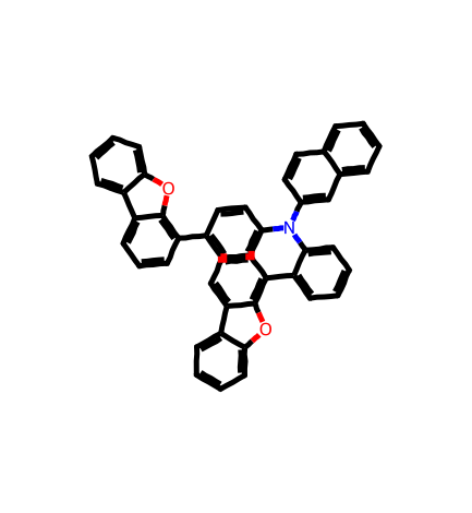 c1ccc(N(c2ccc(-c3cccc4c3oc3ccccc34)cc2)c2ccc3ccccc3c2)c(-c2cccc3c2oc2ccccc23)c1